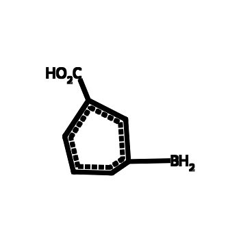 Bc1cccc(C(=O)O)c1